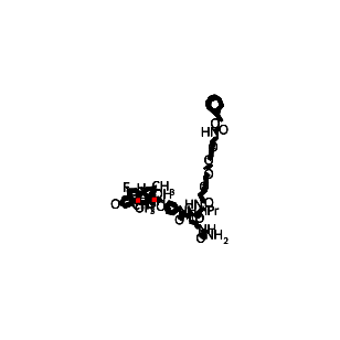 CC(C)[C@H](NC(=O)CCOCCOCCOCCOCCNC(=O)OCC1C2CCC#CCCC21)C(=O)N[C@@H](CCCNC(N)=O)C(=O)Nc1ccc(OCC(=O)[C@@]2(O)[C@H](C)C[C@H]3[C@@H]4C[C@H](F)C5=CC(=O)C=C[C@]5(C)[C@@]4(F)[C@@H](O)C[C@@]32C)cc1